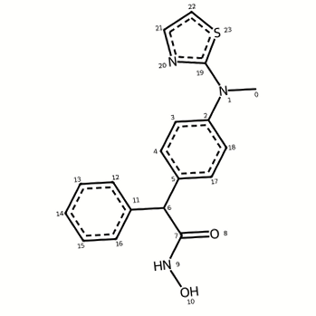 CN(c1ccc(C(C(=O)NO)c2ccccc2)cc1)c1nccs1